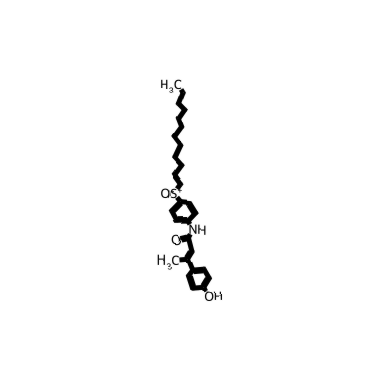 CCCCCCCCCCCC[S+]([O-])c1ccc(NC(=O)/C=C(\C)c2ccc(O)cc2)cc1